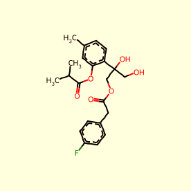 Cc1ccc(C(O)(CO)COC(=O)Cc2ccc(F)cc2)c(OC(=O)C(C)C)c1